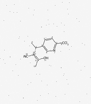 CC(c1ccc(C(Cl)(Cl)Cl)nc1)[N+](C#N)=S(C)O